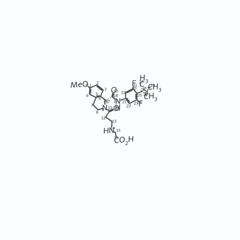 COc1ccc2c(c1)CCN(C(=O)CCNCC(=O)O)[C@H]2C(=O)Nc1cc(F)c([Si](C)(C)C)c(F)c1